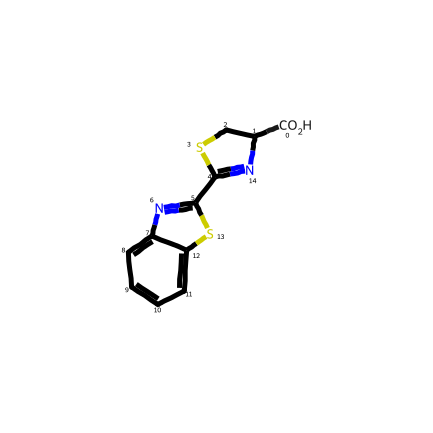 O=C(O)C1CSC(c2nc3cc[c]cc3s2)=N1